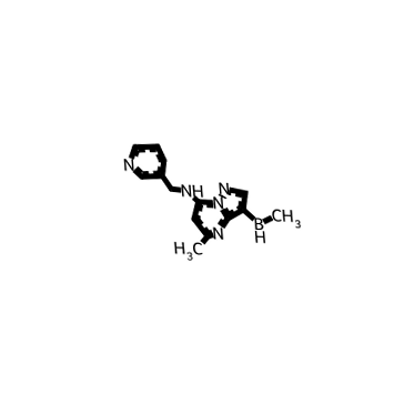 CBc1cnn2c(NCc3cccnc3)cc(C)nc12